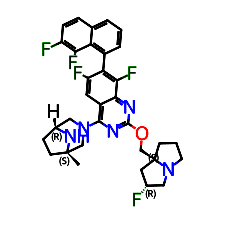 C[C@]12CC[C@H](CN(c3nc(OC[C@@]45CCCN4C[C@H](F)C5)nc4c(F)c(-c5cccc6ccc(F)c(F)c56)c(F)cc34)C1)N2